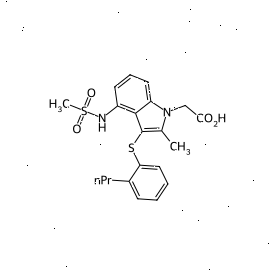 CCCc1ccccc1Sc1c(C)n(CC(=O)O)c2cccc(NS(C)(=O)=O)c12